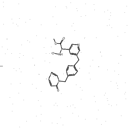 COC(=O)C(NCl)c1cncc(Cc2ccc(Cn3ccccc3=O)cc2)c1